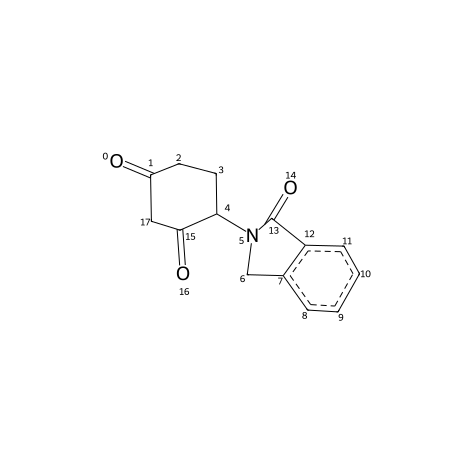 O=C1CCC(N2Cc3ccccc3C2=O)C(=O)C1